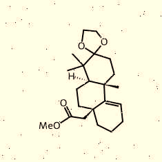 COC(=O)C[C@]12CCCC=C1[C@@]1(C)CCC3(OCCO3)C(C)(C)[C@@H]1CC2